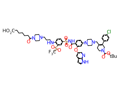 CC(C)(C)OC(=O)N1CCC(CN2CCN(c3ccc(C(=O)NS(=O)(=O)c4ccc(NCCCN5CCN(C(=O)CCCCCC(=O)O)CC5)c(S(=O)(=O)C(F)(F)F)c4)c(Oc4cnc5[nH]ccc5c4)c3)CC2)=C(c2ccc(Cl)cc2)C1